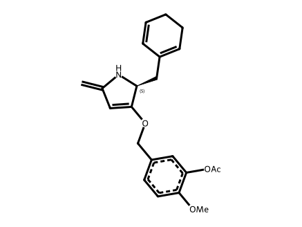 C=C1C=C(OCc2ccc(OC)c(OC(C)=O)c2)[C@H](CC2=CCCC=C2)N1